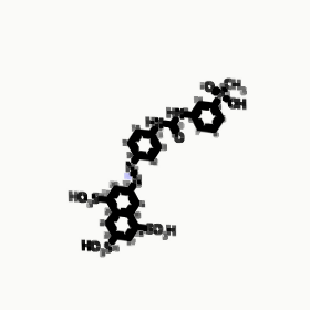 CP(=O)(O)c1cccc(NC(=O)Nc2ccc(/N=N/c3cc(S(=O)(=O)O)c4cc(S(=O)(=O)O)cc(S(=O)(=O)O)c4c3)cc2)c1